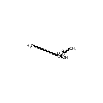 CCCCCCCCCCCCCCCCCC(=O)OC(CO)COC(=O)CCCCC